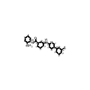 Nc1ccccc1NC(=O)c1cccc(Nc2ccc(-c3cccc(F)c3)cn2)c1